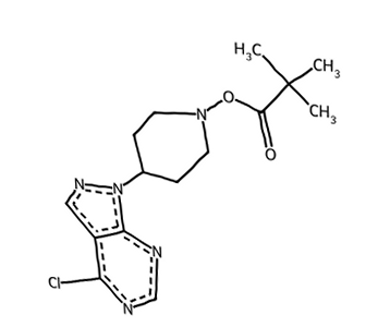 CC(C)(C)C(=O)ON1CCC(n2ncc3c(Cl)ncnc32)CC1